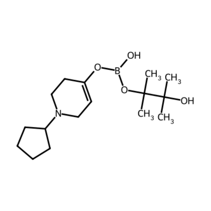 CC(C)(O)C(C)(C)OB(O)OC1=CCN(C2CCCC2)CC1